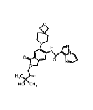 CC(C)(O)C(F)CN1Cc2cc(NC(=O)c3cnn4cccnc34)c(N3CCC4(CC3)COC4)cc2C1=O